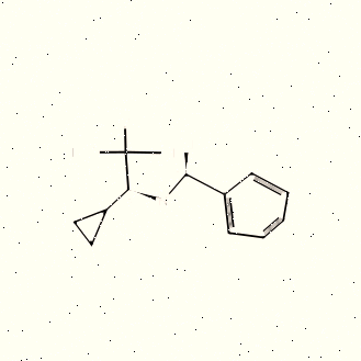 C[C@H](N[C@@H](C1CC1)C(C)(C)O)c1ccccc1